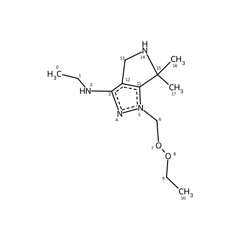 CCNc1nn(COOCC)c2c1CNC2(C)C